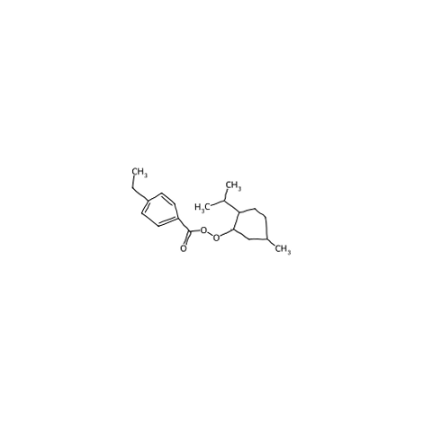 CCc1ccc(C(=O)OO[C]2CC(C)CCC2C(C)C)cc1